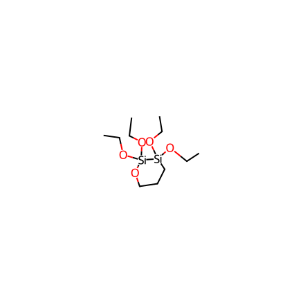 CCO[Si]1(OCC)CCCO[Si]1(OCC)OCC